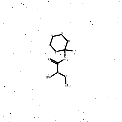 CCC1(OC(=O)C(CC(C)(C)C)C(C)(C)C)CCCCC1